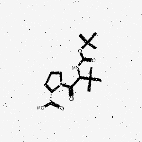 CC(C)(C)OC(=O)N[C@H](C(=O)N1CCC[C@H]1C(=O)O)C(C)(C)C